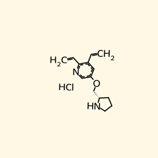 C=Cc1cc(OC[C@@H]2CCCN2)cnc1C=C.Cl